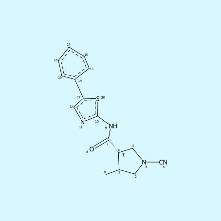 CC1CN(C#N)C[C@H]1C(=O)Nc1ncc(-c2ccccc2)s1